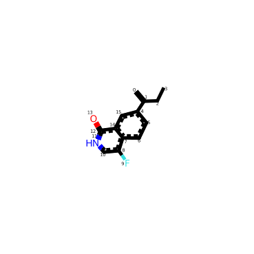 C=C(CC)c1ccc2c(F)c[nH]c(=O)c2c1